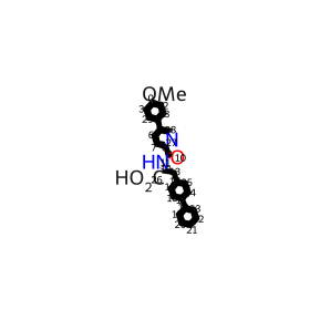 COc1ccc(-c2ccc(C(=O)N[C@@H](Cc3ccc(-c4ccccc4)cc3)C(=O)O)nc2)cc1